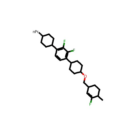 CCCC1CCC(c2ccc(C3CCC(OCC4C=C(F)C(C)CC4)CC3)c(F)c2F)CC1